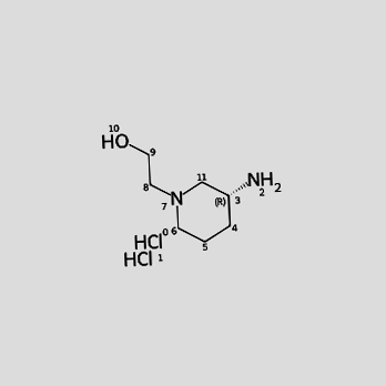 Cl.Cl.N[C@@H]1CCCN(CCO)C1